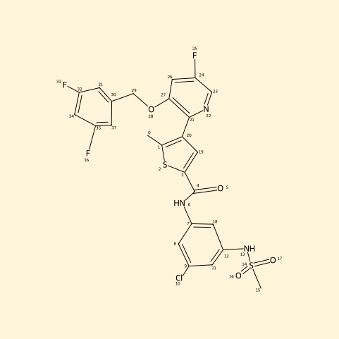 Cc1sc(C(=O)Nc2cc(Cl)cc(NS(C)(=O)=O)c2)cc1-c1ncc(F)cc1OCc1cc(F)cc(F)c1